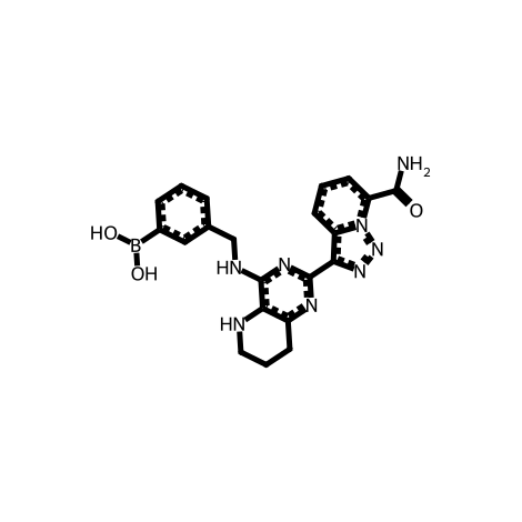 NC(=O)c1cccc2c(-c3nc4c(c(NCc5cccc(B(O)O)c5)n3)NCCC4)nnn12